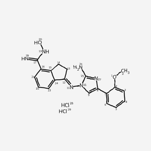 COc1ccccc1-c1cn(N=C2CCc3c(C(=N)NO)cccc32)c(N)n1.Cl.Cl